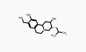 CC(C)C[C@@H]1CN2CCc3cc(CO)c(O)cc3C2CC1O